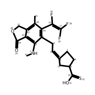 CNc1c(CC=C2CCC(C(O)=S)C2)c(C(F)=C(F)F)c(C)c2c1C(=O)OC2